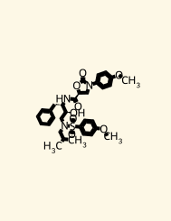 COc1ccc(N2C[C@@H](C(=O)N[C@@H](CC3=CCCC=C3)[C@H](O)CN(CC(C)C)S(=O)(=O)c3ccc(OC)cc3)OC2=O)cc1